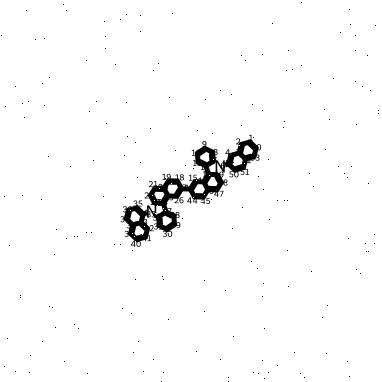 c1ccc2cc(-n3c4ccccc4c4c5cc(-c6ccc7ccc8c(c7c6)c6ccccc6n8-c6cccc7ccccc67)ccc5ccc43)ccc2c1